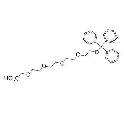 O=C(O)COCCOCCOCCOCCOC(c1ccccc1)(c1ccccc1)c1ccccc1